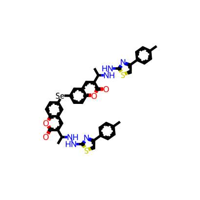 Cc1ccc(-c2csc(NNC(C)c3cc4cc([Se]c5ccc6oc(=O)c(C(C)NNc7nc(-c8ccc(C)cc8)cs7)cc6c5)ccc4oc3=O)n2)cc1